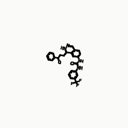 O=C(Nc1cccc(C(F)(F)F)c1)Nc1ccc2c(c1)C(CCC(=O)c1ccccc1)NN=C2